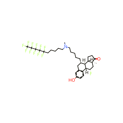 CN(CCCCC[C@@H]1Cc2cc(O)ccc2[C@@H]2[C@@H]1[C@@H]1CCC(=O)[C@@]1(C)C[C@@H]2F)CCCCCC(F)(F)C(F)(F)C(F)(F)C(F)(F)C(F)(F)F